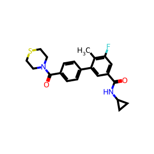 Cc1c(F)cc(C(=O)NC2CC2)cc1-c1ccc(C(=O)N2CCSCC2)cc1